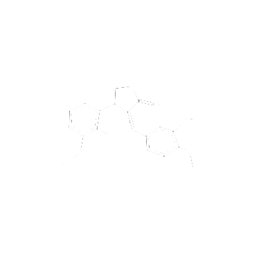 COc1ccc(/C=C2\C(=O)OCC2c2cccc(OC)c2O)cc1O